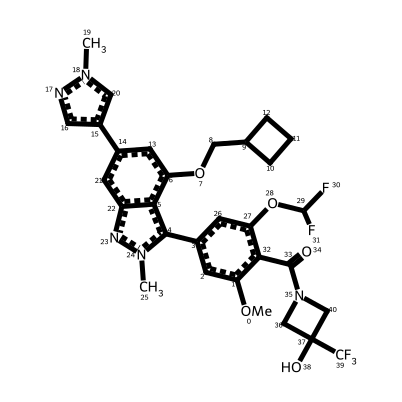 COc1cc(-c2c3c(OCC4CCC4)cc(-c4cnn(C)c4)cc3nn2C)cc(OC(F)F)c1C(=O)N1CC(O)(C(F)(F)F)C1